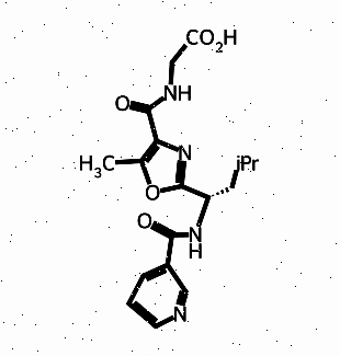 Cc1oc([C@H](CC(C)C)NC(=O)c2cccnc2)nc1C(=O)NCC(=O)O